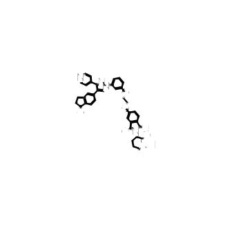 O=C1CCC(N2C(=O)c3ccc(OCCOc4cccc(-n5cc(-c6ccc7c(c6)CCC7=O)c(-c6ccncc6)n5)c4)cc3C2=O)C(=O)N1